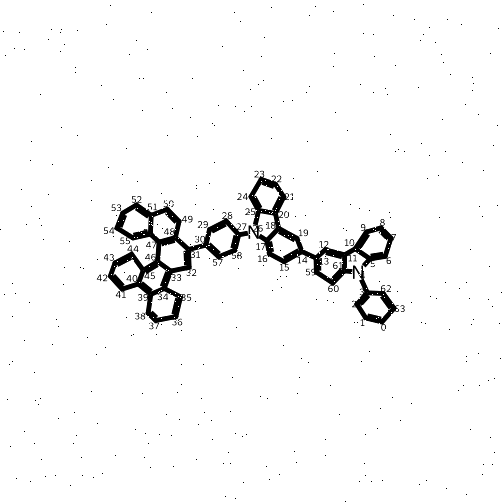 c1ccc(-n2c3ccccc3c3cc(-c4ccc5c(c4)c4ccccc4n5-c4ccc(-c5cc6c7ccccc7c7ccccc7c6c6c5ccc5ccccc56)cc4)ccc32)cc1